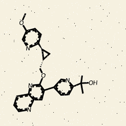 COc1ccc([C@H]2C[C@@H]2COc2nc3cccnc3cc2-c2ccc(C(C)(C)O)nc2)nc1